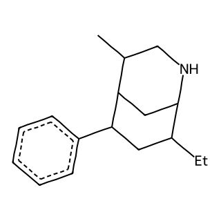 CCC1CC(c2ccccc2)C2CC1NCC2C